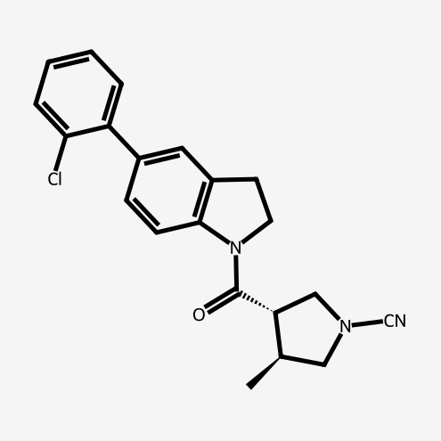 C[C@@H]1CN(C#N)C[C@H]1C(=O)N1CCc2cc(-c3ccccc3Cl)ccc21